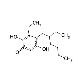 CCCCC(CC)Cn1c(O)cc(=O)c(O)c1CC